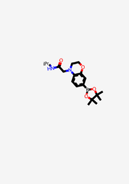 CC(C)NC(=O)CN1CCOc2cc(B3OC(C)(C)C(C)(C)O3)ccc21